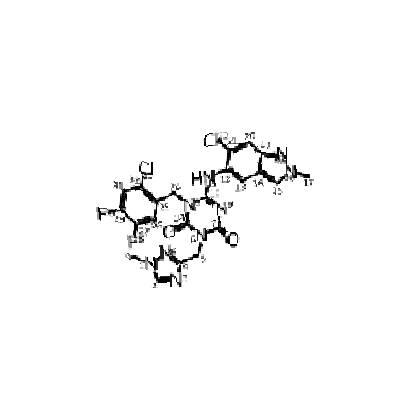 Cn1cnc(Cn2c(=O)nc(Nc3cc4cn(C)nc4cc3Cl)n(Cc3cc(F)c(F)cc3Cl)c2=O)n1